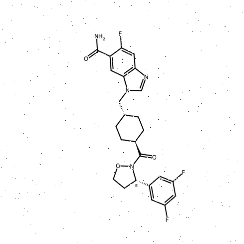 NC(=O)c1cc2c(cc1F)ncn2C[C@H]1CC[C@H](C(=O)N2OCC[C@H]2c2cc(F)cc(F)c2)CC1